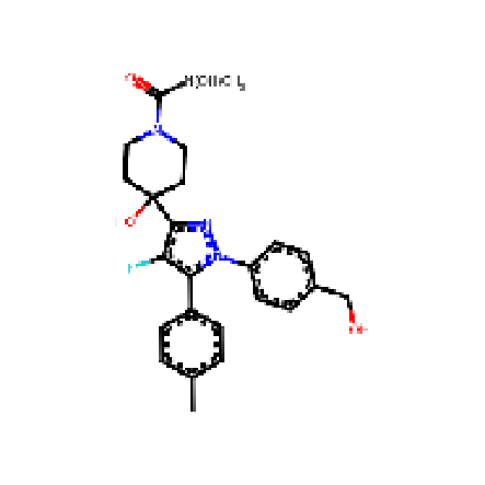 Cc1ccc(-c2c(F)c(C3(O)CCN(C(=O)N(C)O)CC3)nn2-c2ccc(CO)cc2)cc1